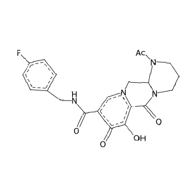 CC(=O)N1CCCN2C(=O)c3c(O)c(=O)c(C(=O)NCc4ccc(F)cc4)cn3CC12